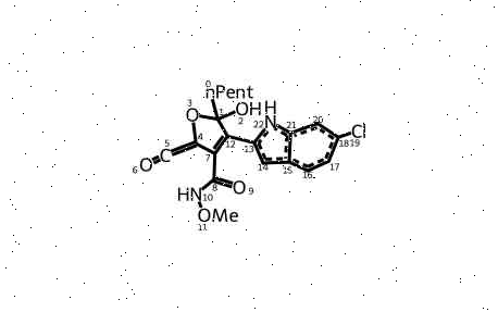 CCCCCC1(O)OC(=C=O)C(C(=O)NOC)=C1c1cc2ccc(Cl)cc2[nH]1